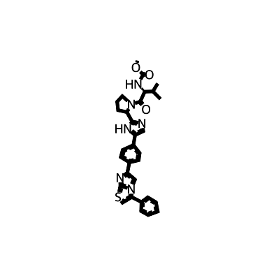 COC(=O)N[C@H](C(=O)N1CCCC1c1ncc(-c2ccc(-c3cn4c(-c5ccccc5)csc4n3)cc2)[nH]1)C(C)C